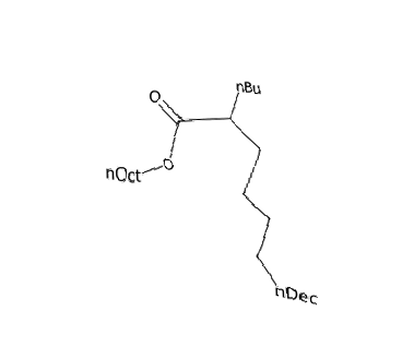 CCCCCCCCCCCCCCC(CCCC)C(=O)OCCCCCCCC